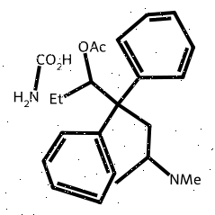 CCC(OC(C)=O)C(CC(C)NC)(c1ccccc1)c1ccccc1.NC(=O)O